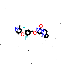 Cc1cc(Oc2c(F)cc(COc3cc4n(c(=O)n3)CCC35CC(CN43)C5)cc2F)ccn1